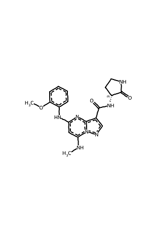 CNc1cc(Nc2ccccc2OC)nc2c(C(=O)N[C@@H]3CCNC3=O)cnn12